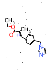 CCOC(=O)/C(C)=C/c1ccc(Cn2ccnc2)cc1